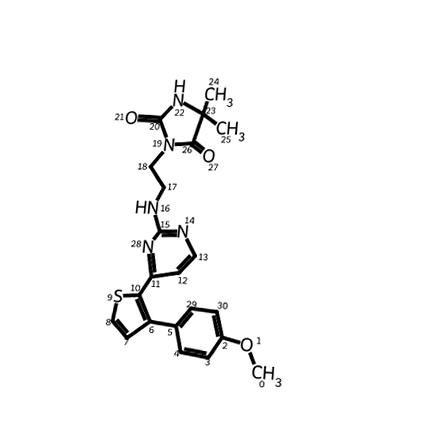 COc1ccc(-c2ccsc2-c2ccnc(NCCN3C(=O)NC(C)(C)C3=O)n2)cc1